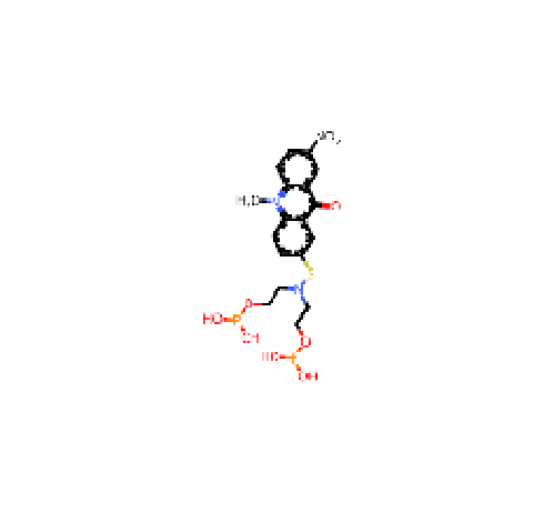 Cn1c2ccc(SN(CCOP(O)O)CCOP(O)O)cc2c(=O)c2cc([N+](=O)[O-])ccc21